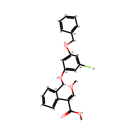 CO/C=C(/C(=O)OC)c1ccccc1COc1cc(F)cc(OCc2ccccc2)c1